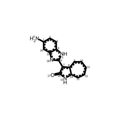 Nc1ccc2[nH]c(-c3c4cccccc-4[nH]c3=O)nc2c1